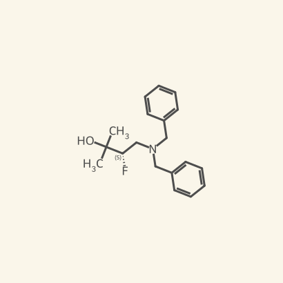 CC(C)(O)[C@@H](F)CN(Cc1ccccc1)Cc1ccccc1